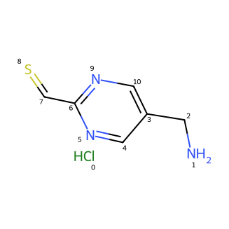 Cl.NCc1cnc(C=S)nc1